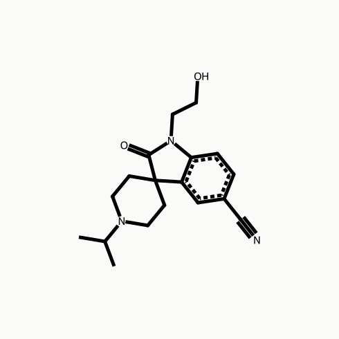 CC(C)N1CCC2(CC1)C(=O)N(CCO)c1ccc(C#N)cc12